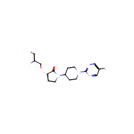 Cl.NC(CO)CO[C@@H]1CCN(C2CCN(c3ncc(C(F)(F)F)cn3)CC2)C1=O